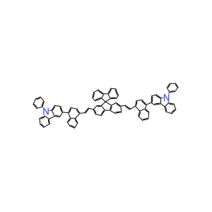 C(=C\c1ccc(-c2ccc3c(c2)c2ccccc2n3-c2ccccc2)c2ccccc12)/c1ccc2c(c1)C1(c3ccccc3-c3ccccc31)c1cc(/C=C/c3ccc(-c4ccc5c(c4)c4ccccc4n5-c4ccccc4)c4ccccc34)ccc1-2